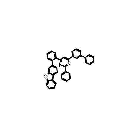 c1ccc(-c2cccc(-c3cc(-c4ccccc4-c4ccc5c(c4)oc4ccccc45)nc(-c4ccccc4)n3)c2)cc1